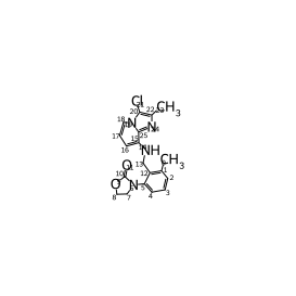 Cc1cccc(N2CCOC2=O)c1CNc1cccn2c(Cl)c(C)nc12